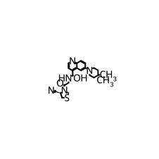 CC1(C)CCN(c2ccc3nccc(C(O)NCC(=O)N4CSC[C@H]4C#N)c3c2)CC1